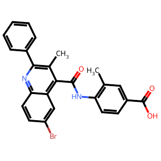 Cc1cc(C(=O)O)ccc1NC(=O)c1c(C)c(-c2ccccc2)nc2ccc(Br)cc12